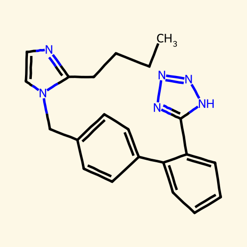 CCCCc1nccn1Cc1ccc(-c2ccccc2-c2nnn[nH]2)cc1